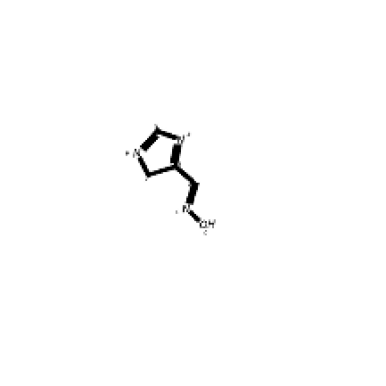 O/N=C/C1=NC=NC1